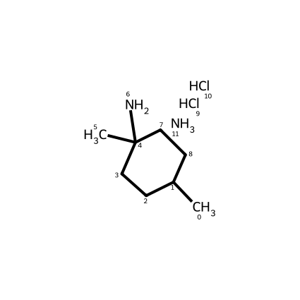 CC1CCC(C)(N)CC1.Cl.Cl.N